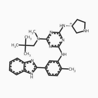 Cc1ccc(-c2nc3ccccc3[nH]2)cc1Nc1nc(N[C@@H]2CCNC2)nc(N(C)CC(C)(C)C)n1